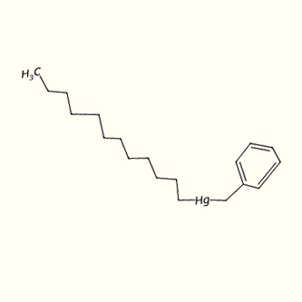 CCCCCCCCCCC[CH2][Hg][CH2]c1ccccc1